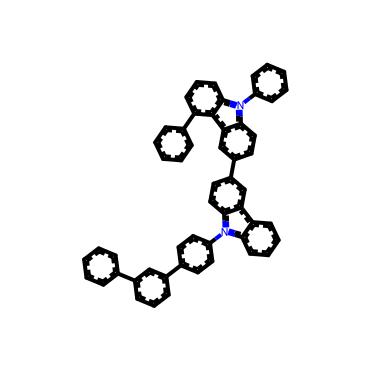 c1ccc(-c2cccc(-c3ccc(-n4c5ccccc5c5cc(-c6ccc7c(c6)c6c(-c8ccccc8)cccc6n7-c6ccccc6)ccc54)cc3)c2)cc1